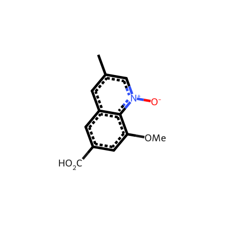 COc1cc(C(=O)O)cc2cc(C)c[n+]([O-])c12